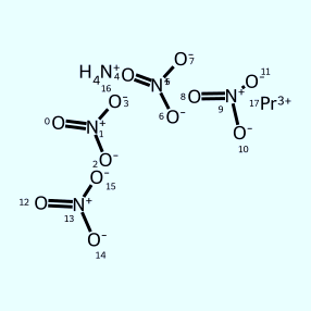 O=[N+]([O-])[O-].O=[N+]([O-])[O-].O=[N+]([O-])[O-].O=[N+]([O-])[O-].[NH4+].[Pr+3]